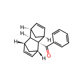 O=C(c1ccccc1)[C@]12[C@H]([C@H]3C=C[C@@H]1C3)[C@H]1C=C[C@@H]2C1